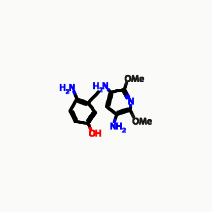 COc1nc(OC)c(N)cc1N.Cc1cc(O)ccc1N